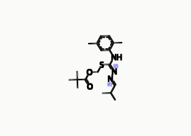 Cc1ccc(C)c(N/C(=N/N=C/C(C)C)SCOC(=O)C(C)(C)C)c1